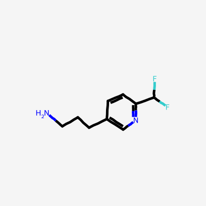 NCCCc1ccc(C(F)F)nc1